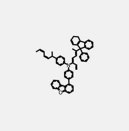 C=C/C(=C\C=C(/C)C1(c2ccccc2)C2=C(CCC=C2)c2ccccc21)N(c1ccc(-c2cccc3oc4ccccc4c23)cc1)c1ccc(C(C)/C=C\C=C/C)cc1